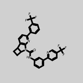 O=C(Nc1cccc(-c2ccc(C(F)(F)F)cn2)c1)N1c2nc(-c3cccc(C(F)(F)F)c3)ccc2C2CCC21